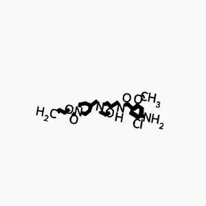 C=CCOC(=O)N1CCC(CN2CCOC(CNC(=O)c3cc(Cl)c(N)cc3OC)C2)CC1